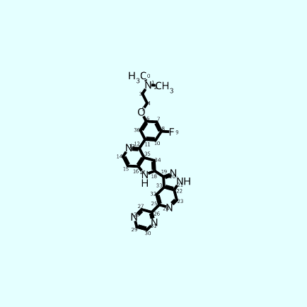 CN(C)CCOc1cc(F)cc(-c2nccc3[nH]c(-c4n[nH]c5cnc(-c6cnccn6)cc45)cc23)c1